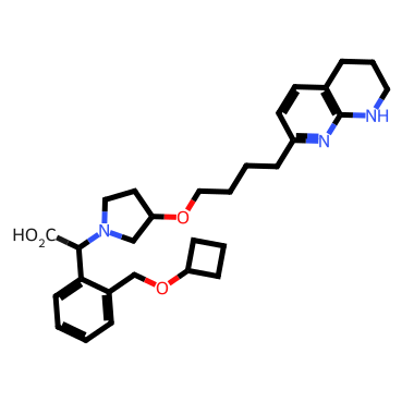 O=C(O)C(c1ccccc1COC1CCC1)N1CCC(OCCCCc2ccc3c(n2)NCCC3)C1